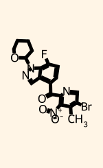 Cc1c(Br)cnc(C(=O)c2ccc(F)c3c2cnn3C2CCCCO2)c1[N+](=O)[O-]